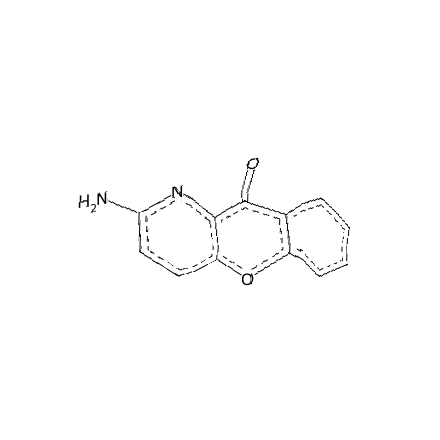 Nc1ccc2oc3ccccc3c(=O)c2n1